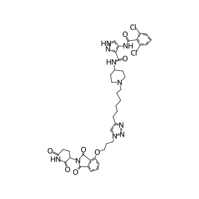 O=C1CCC(N2C(=O)c3cccc(OCCCn4cc(CCCCCCN5CCC(NC(=O)c6n[nH]cc6NC(=O)c6c(Cl)cccc6Cl)CC5)nn4)c3C2=O)C(=O)N1